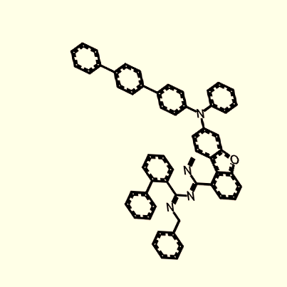 C=N/C(=N\C(=N/Cc1ccccc1)c1ccccc1-c1ccccc1)c1cccc2oc3cc(N(c4ccccc4)c4ccc(-c5ccc(-c6ccccc6)cc5)cc4)ccc3c12